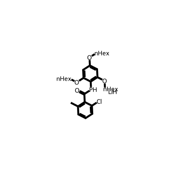 CCCCCCOc1cc(OCCCCCC)c(PC(=O)c2c(C)cccc2Cl)c(OCCCCCC)c1.[LiH]